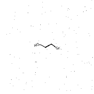 OC[CH2][Ge]